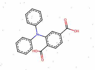 O=C(O)c1ccc(C(=O)O)c(N(c2ccccc2)c2ccccc2)c1